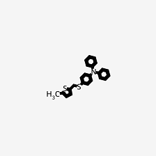 Cc1ccc(CSc2ccc(N(c3ccccc3)c3ccccc3)cc2)s1